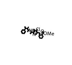 C=C(/C(C)=C(\C)NC(=C)c1ncc(CN2CCCCC2C(=O)OC)c(Cl)c1C)c1ccccc1